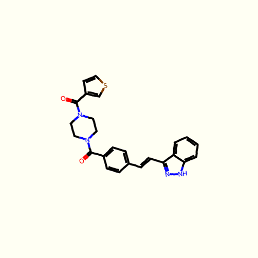 O=C(c1ccc(/C=C/c2n[nH]c3ccccc23)cc1)N1CCN(C(=O)c2ccsc2)CC1